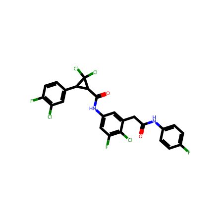 O=C(Cc1cc(NC(=O)C2C(c3ccc(F)c(Cl)c3)C2(Cl)Cl)cc(F)c1Cl)Nc1ccc(F)cc1